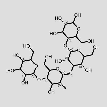 C[C@H]1C(O)[C@H](O[C@@H]2OC(CO)[C@H](O)C(O)[C@@H]2O)C(CO)O[C@H]1OC1[C@@H](O)C(CO)O[C@@H](O[C@@H]2C(CO)OC(O)[C@@H](O)C2O)[C@H]1O